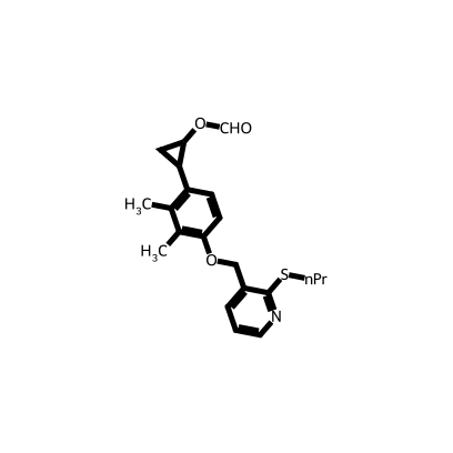 CCCSc1ncccc1COc1ccc(C2CC2OC=O)c(C)c1C